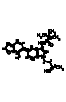 C[C@@H](O)CCn1nc(NC(=O)C(C)(C)C)c2cc(-c3ccc4c(c3F)OCO4)cnc21